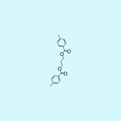 Cc1ccc(C(=O)OCCCOC(=O)c2ccc(C)cc2)cc1